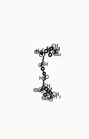 CC1=CC2=Nc3cc(C)c(NC(=O)OC(C)(C)C)cc3N(c3ccccc3)C2C=C1N(CCCCCCNC(=O)c1ccc(-c2ccc(C(=O)NCCCCCCN(C(=O)OC(C)(C)C)c3cc4c(cc3C)nc3cc(C)c(NC(=O)OC(C)(C)C)cc3[n+]4-c3ccccc3)cc2)cc1)C(=O)OC(C)(C)C